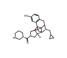 O=C([C@@H]1CCCNC1)N1C[C@H]2CC34CCC1C2C31CCN(CC2CC2)C4Cc2ccc(O)cc21